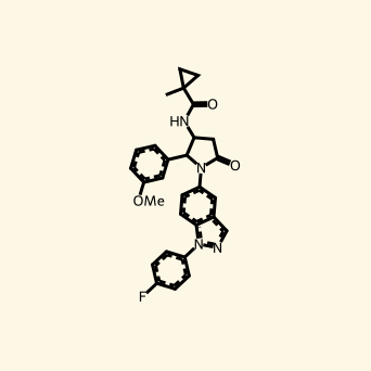 COc1cccc(C2C(NC(=O)C3(C)CC3)CC(=O)N2c2ccc3c(cnn3-c3ccc(F)cc3)c2)c1